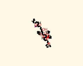 C=[C][C@H](C)C[C@H]1CC[C@@H]2O[C@@H](CCC(O)/C=C/[C@H](O[Si](C)(C)C(C)(C)C)[C@@H]3O[C@H]4CC[C@H](CCO[Si](CC)(CC)CC)O[C@@H]4[C@H](O[Si](C)(C)C(C)(C)C)[C@@H]3O[Si](C)(C)C(C)(C)C)C[C@]2(CI)O1